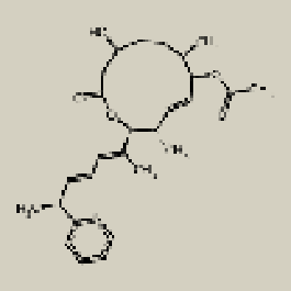 CC(=O)O[C@H]1/C=C/[C@H](C)[C@@H](/C(C)=C/C=C/[C@H](C)c2ccccn2)OC(=O)C[C@@H](O)CC[C@H]1C